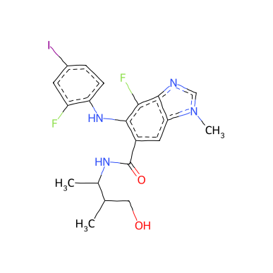 CC(CO)C(C)NC(=O)c1cc2c(ncn2C)c(F)c1Nc1ccc(I)cc1F